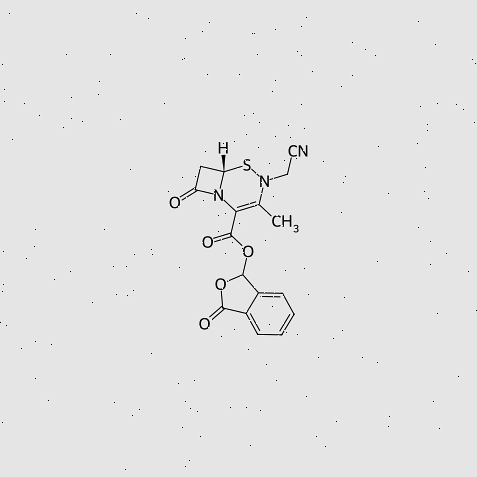 CC1=C(C(=O)OC2OC(=O)c3ccccc32)N2C(=O)C[C@@H]2SN1CC#N